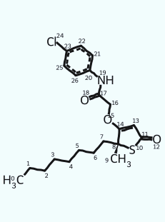 CCCCCCCC[C@@]1(C)SC(=O)C=C1OCC(=O)Nc1ccc(Cl)cc1